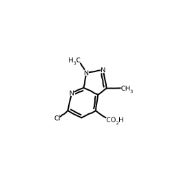 Cc1nn(C)c2nc(Cl)cc(C(=O)O)c12